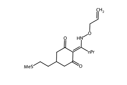 C=CCONC(CCC)=C1C(=O)CC(CCSC)CC1=O